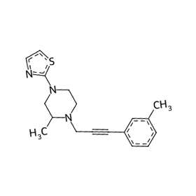 Cc1cccc(C#CCN2CCN(c3nccs3)CC2C)c1